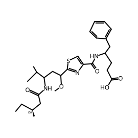 CC[C@H](C)CC(=O)NC(CC(OC)c1nc(C(=O)NC(CCC(=O)O)Cc2ccccc2)cs1)C(C)C